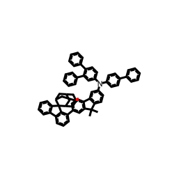 CC1(C)c2ccc(N(c3ccc(-c4ccccc4)cc3)c3ccc(-c4ccccc4)c(-c4ccccc4)c3)cc2-c2ccc(-c3cccc4c3C3(c5ccccc5-4)C4CC5CC(C4)CC3C5)cc21